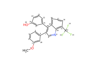 COc1cccc(-c2cnc3c(C(F)(F)F)cccc3c2-c2cccc(O)c2)c1